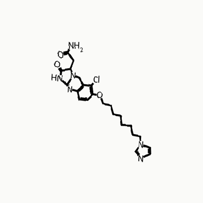 NC(=O)CC1C(=O)NC2=Nc3ccc(OCCCCCCCCn4ccnc4)c(Cl)c3CN21